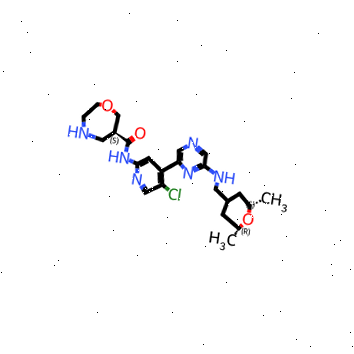 C[C@@H]1CC(CNc2cncc(-c3cc(NC(=O)[C@H]4CNCCOC4)ncc3Cl)n2)C[C@H](C)O1